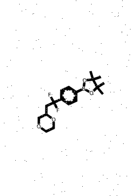 CC1(C)OB(c2ccc(C(F)(F)CC3COCCO3)cc2)OC1(C)C